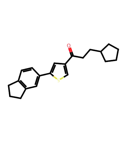 O=C(CCC1CCCC1)c1csc(-c2ccc3c(c2)CCC3)c1